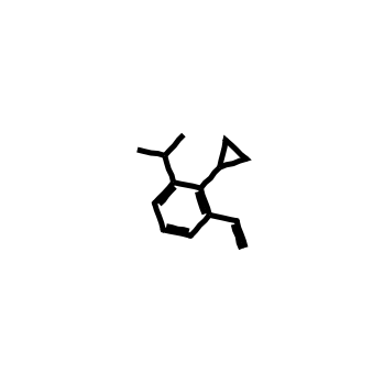 C=Cc1cccc(C(C)C)c1C1CC1